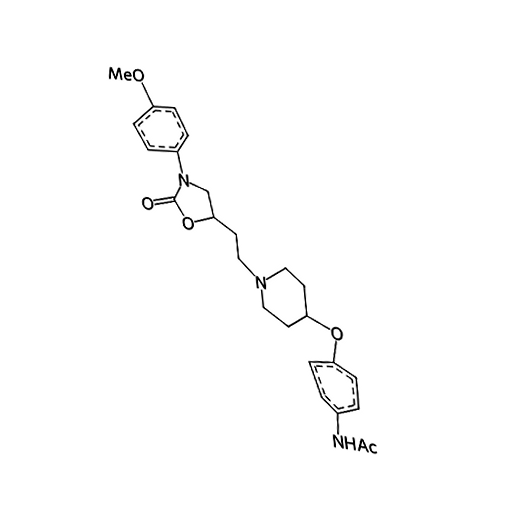 COc1ccc(N2CC(CCN3CCC(Oc4ccc(NC(C)=O)cc4)CC3)OC2=O)cc1